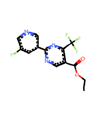 CCOC(=O)c1cnc(-c2cncc(F)c2)nc1C(F)(F)F